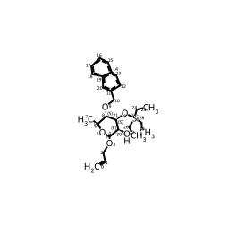 C=CCO[C@@H]1O[C@@H](C)[C@H](OCc2ccc3ccccc3c2)[C@@H](O[Si](CC)(CC)CC)[C@H]1O